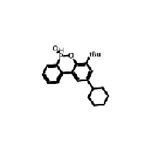 CC(C)(C)c1cc(C2CCCCC2)cc2c1O[PH](=O)c1ccccc1-2